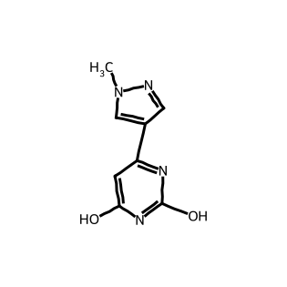 Cn1cc(-c2cc(O)nc(O)n2)cn1